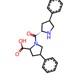 O=C(O)C1CC(c2ccccc2)CN1C(=O)[C@@H]1CC(c2ccccc2)CN1